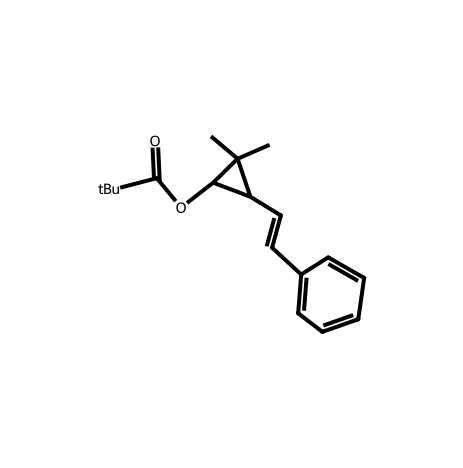 CC(C)(C)C(=O)OC1C(C=Cc2ccccc2)C1(C)C